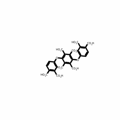 O=C(O)c1ccc(Oc2c(C(=O)O)c(C(=O)O)c(Oc3ccc(C(=O)O)c(C(=O)O)c3)c(C(=O)O)c2C(=O)O)cc1C(=O)O